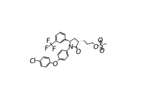 CS(=O)(=O)OCCC[C@H]1C[C@H](c2cccc(C(F)(F)F)c2)N(c2ccc(Oc3ccc(Cl)cc3)cc2)C1=O